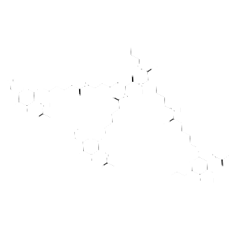 CCCNC(=O)[C@H](CCCCNC(=O)CCCCO[C@@H]1O[C@H](CCO)[C@H](O)[C@H](O)[C@H]1NC(C)=O)NC(=O)[C@H](CCCCNC(=O)CCCCO[C@@H]1O[C@H](CO)[C@H](O)[C@H](O)[C@H]1NC(C)=O)NC(=O)CCCCO[C@@H]1O[C@H](CO)[C@H](O)[C@H](O)[C@H]1NC(C)=O